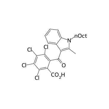 CCCCCCCCn1c(C)c(C(=O)c2c(Cl)c(Cl)c(Cl)c(Cl)c2C(=O)O)c2ccccc21